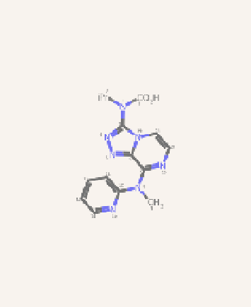 CC(C)N(C(=O)O)c1nnc2c(N(C)c3ccccn3)nccn12